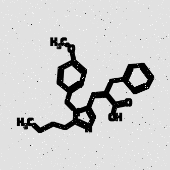 CCCCc1ncc(C=C(Cc2ccccc2)C(=O)O)n1Cc1ccc(OC)cc1